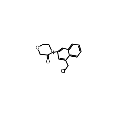 O=C1COCCN1c1cc(CCl)c2ccccc2c1